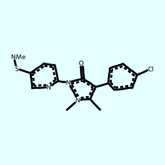 CNSc1ccc(-n2c(=O)c(-c3ccc(Cl)cc3)c(C)n2C)nc1